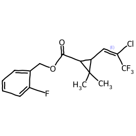 CC1(C)C(/C=C(/Cl)C(F)(F)F)C1C(=O)OCc1ccccc1F